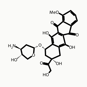 COc1cccc2c1C(=O)c1c(O)c3c(c(O)c1C2=O)C[C@@](O)(C(=O)CO)C[C@@H]3O[C@H]1C[C@H](N)[C@@H](O)CO1